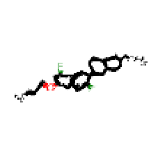 CC=CCOc1cc(F)c2cc(C3CCC4CC(CC)CCC4C3)c(F)cc2c1